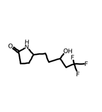 O=C1CCC(CCC(O)CC(F)(F)F)N1